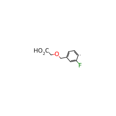 O=C(O)COCc1cc[c]c(F)c1